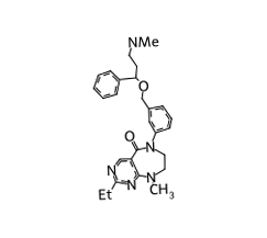 CCc1ncc2c(n1)N(C)CCN(c1cccc(COC(CCNC)c3ccccc3)c1)C2=O